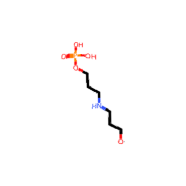 [O]CCCNCCCOP(=O)(O)O